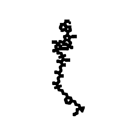 CC(C)(CCCCc1cccc(CCCC2(OC=O)CC2)c1)C(=O)CCNC(=O)CCNC(=O)C(O)C(C)(C)COP(=O)(O)OP(=O)(O)OCC1OC(n2cnc3c(N)ncnc32)C(O)C1OP(=O)(O)O